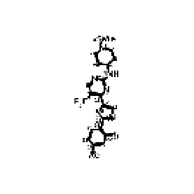 CSN1CCC(Nc2ncc(C(F)(F)F)c(-c3cnc(-c4ccc(C(C)=O)cc4C)s3)n2)CC1